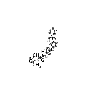 Cc1noc(C)c1CCC(=O)NCc1cnc(Oc2ccc3c(c2)CCC(c2ccccc2)O3)s1